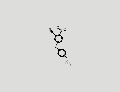 CSc1ccc(Oc2ccc([N+](=O)[O-])c(C#N)c2)cc1